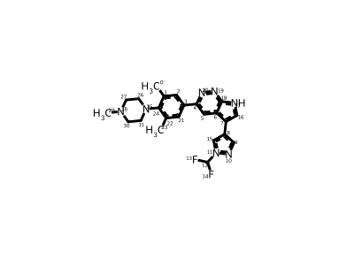 Cc1cc(-c2cc3c(-c4cnn(C(F)F)c4)c[nH]c3nn2)cc(C)c1N1CCN(C)CC1